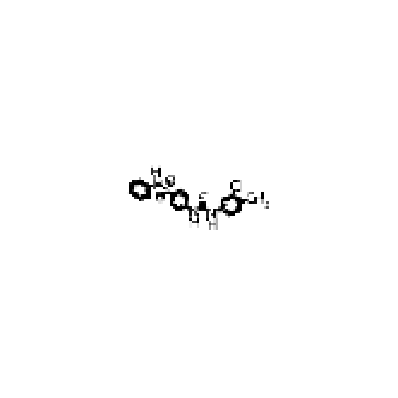 Cc1ccc(NC(=S)Nc2ccc(S(=O)(=O)Nc3ccccc3)cc2)cc1Cl